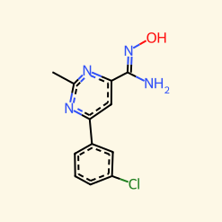 Cc1nc(C(N)=NO)cc(-c2cccc(Cl)c2)n1